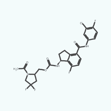 CC(=O)N1CC(F)(F)CC1COC(=O)N[C@H]1CCc2c(C(=O)Nc3ccc(F)c(Cl)c3)ccc(F)c21